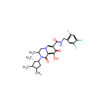 CC1CC(N2C(=O)c3c(O)c(=O)c(C(=O)NCc4cc(F)c(F)cc4F)cn3CC2C)[C@@H](C)C1C